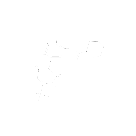 Cn1c(C(F)(F)F)cc(=O)n(-c2cc(OC(=O)C3CCCCC3)c(Cl)cc2F)c1=O